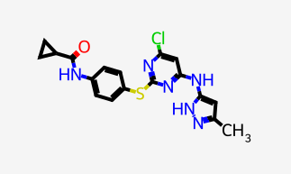 Cc1cc(Nc2cc(Cl)nc(Sc3ccc(NC(=O)C4CC4)cc3)n2)[nH]n1